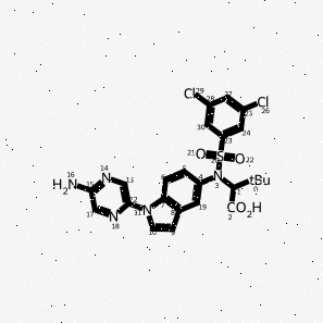 CC(C)(C)C(C(=O)O)N(c1ccc2c(ccn2-c2cnc(N)cn2)c1)S(=O)(=O)c1cc(Cl)cc(Cl)c1